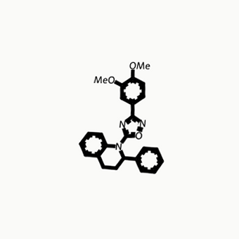 COc1ccc(-c2noc(N3c4ccccc4CCC3c3ccccc3)n2)cc1OC